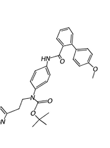 COc1ccc(-c2ccccc2C(=O)Nc2ccc(N(CCc3ccccn3)C(=O)OC(C)(C)C)cc2)cc1